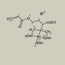 C=CC(=O)OCCC(CCCCCCCC)C(C)(C)[N+](CCCCCCCCCC)(CCCCCCCCCC)CCCCCCCCCC.[Br-]